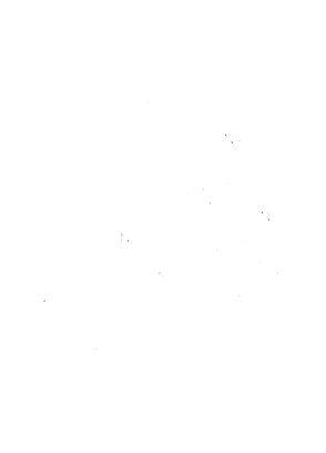 N#Cc1cccc(CN2CC[C@H](NS(=O)(=O)c3ccc(Oc4ccccc4)cc3)C2=O)c1